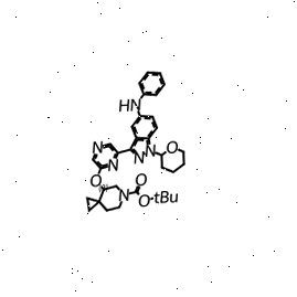 CC(C)(C)OC(=O)N1CCC2(CC2)[C@@H](Oc2cncc(-c3nn(C4CCCCO4)c4ccc(Nc5ccccc5)cc34)n2)C1